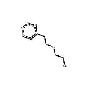 OCCOCCc1ccnnn1